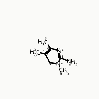 CC1=C(C)N=C(N)N(C)C1